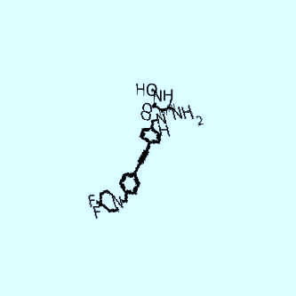 C[C@@H](N)[C@H](NC(=O)c1ccc(C#Cc2ccc(CN3CCC(F)(F)CC3)cc2)cc1)C(=O)NO